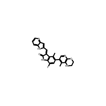 Cc1c(-c2cc(F)c3c(c2C)C(=Cc2cc4ncccc4[nH]2)C(=O)N3)cnc2c1NCCO2